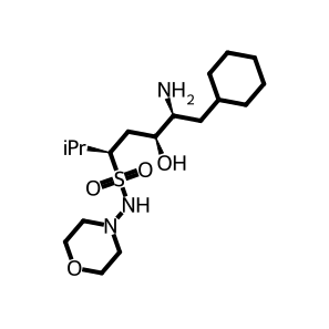 CC(C)[C@@H](C[C@H](O)[C@@H](N)CC1CCCCC1)S(=O)(=O)NN1CCOCC1